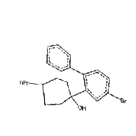 CCCC1CCC(O)(c2cc(Br)ccc2-c2ccccc2)CC1